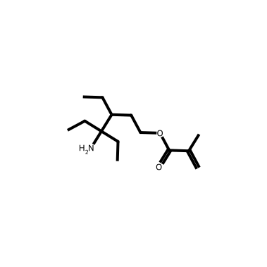 C=C(C)C(=O)OCCC(CC)C(N)(CC)CC